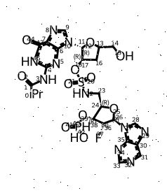 CC(C)C(=O)Nc1nc2c(ncn2[C@@H]2OC(CO)C[C@H]2OS(=O)(=O)NC[C@H]2O[C@@H](n3cnc4cncnc43)[C@H](F)[C@@H]2O[PH](=O)O)c(=O)[nH]1